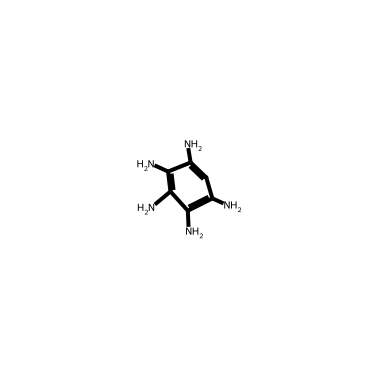 Nc1cc(N)c(N)c(N)c1N